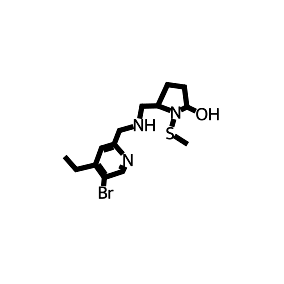 CCc1cc(CNCC2CCC(O)N2SC)ncc1Br